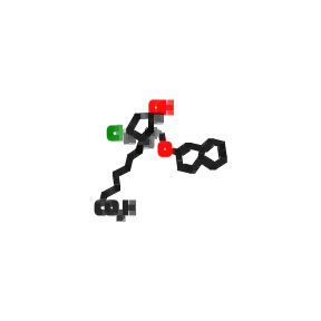 O=C(O)CCCCCC[C@@H]1[C@@H](COc2ccc3ccccc3c2)[C@H](O)C[C@H]1Cl